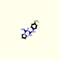 Cc1ccc(NC(=N)NC(=N)N2CC=CC2)cc1